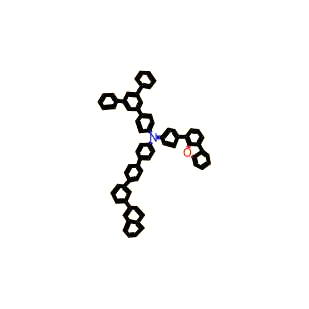 c1ccc(-c2cc(-c3ccccc3)cc(-c3ccc(N(c4ccc(-c5ccc(-c6cccc(-c7ccc8ccccc8c7)c6)cc5)cc4)c4ccc(-c5cccc6c5oc5ccccc56)cc4)cc3)c2)cc1